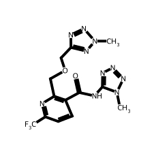 Cn1nnc(COCc2nc(C(F)(F)F)ccc2C(=O)Nc2nnnn2C)n1